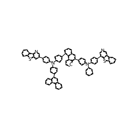 c1ccc(N(c2ccc(-c3cc4cccc(-c5ccc(N(c6ccc(-c7cnc8c(c7)sc7ccccc78)cc6)c6ccc(-c7cc8ccccc8c8ccccc78)cc6)cc5)c4c4ccccc34)cc2)c2ccc(-c3cncc4c3sc3ccccc34)cc2)cc1